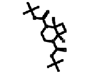 CC(C)(C)OC(=O)N1CCN(C(=O)OC(C)(C)C)[C@H]2CC[C@H]21